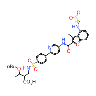 CCCCOC(C)C(CNS(=O)(=O)c1ccc(-c2ccc(NC(=O)c3oc4cccc(NC[SH](=O)=O)c4c3C)cn2)cc1)C(=O)O